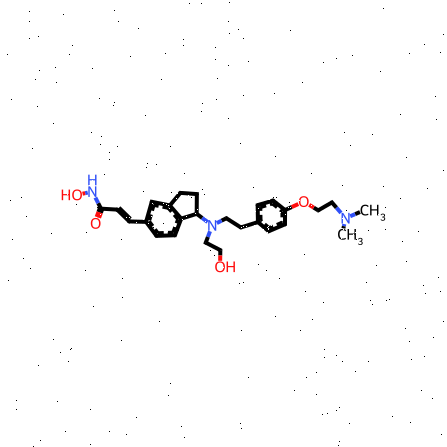 CN(C)CCOc1ccc(CCN(CCO)C2CCc3cc(C=CC(=O)NO)ccc32)cc1